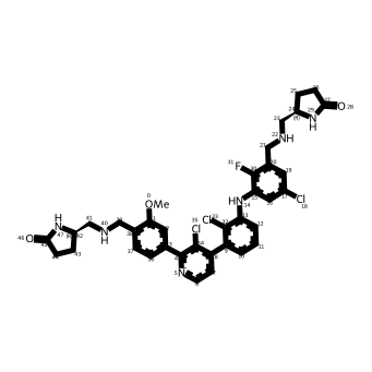 COc1cc(-c2nccc(-c3cccc(Nc4cc(Cl)cc(CNC[C@H]5CCC(=O)N5)c4F)c3Cl)c2Cl)ccc1CNC[C@H]1CCC(=O)N1